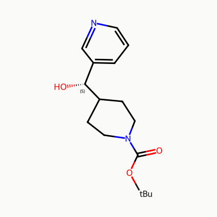 CC(C)(C)OC(=O)N1CCC([C@H](O)c2cccnc2)CC1